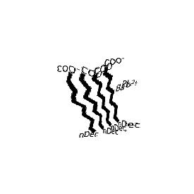 CCCCCCCCCCCCCCCCCC(=O)[O-].CCCCCCCCCCCCCCCCCC(=O)[O-].CCCCCCCCCCCCCCCCCC(=O)[O-].CCCCCCCCCCCCCCCCCC(=O)[O-].[Ba+2].[Pb+2]